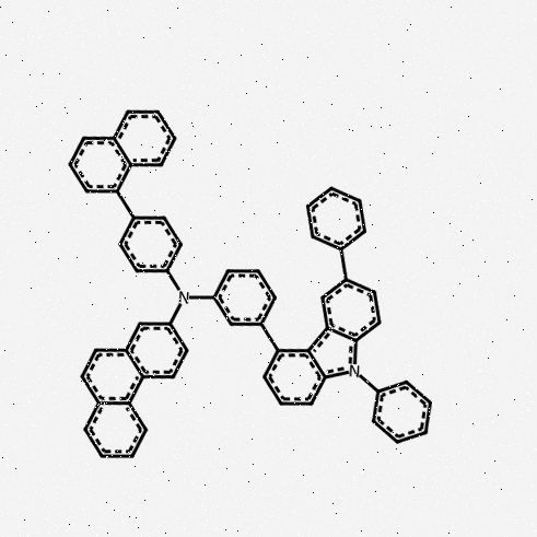 c1ccc(-c2ccc3c(c2)c2c(-c4cccc(N(c5ccc(-c6cccc7ccccc67)cc5)c5ccc6c(ccc7ccccc76)c5)c4)cccc2n3-c2ccccc2)cc1